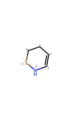 [C]1CC=CNS1